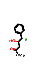 COC(=O)C[C@@H](O)[C@@H](Br)c1ccccc1